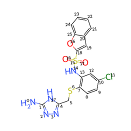 Nc1nnc(CSc2ccc(Cl)cc2NS(=O)(=O)c2cc3ccccc3o2)[nH]1